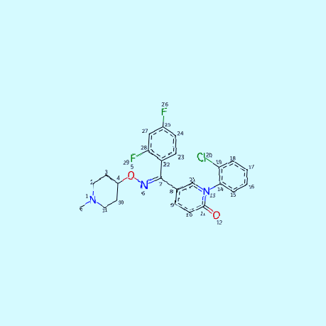 CN1CCC(O/N=C(/c2ccc(=O)n(-c3ccccc3Cl)c2)c2ccc(F)cc2F)CC1